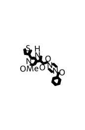 COc1cnc(-c2ccsc2)c2[nH]cc(C(=O)C(=O)N3CCN(C(=O)c4ccccc4)CC3)c12